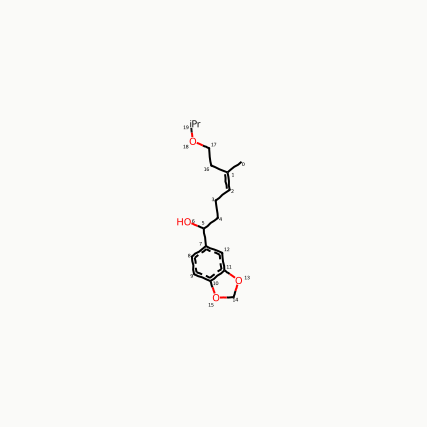 CC(=CCCC(O)c1ccc2c(c1)OCO2)CCOC(C)C